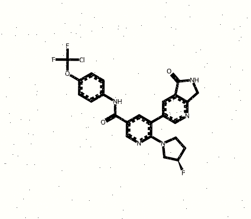 O=C(Nc1ccc(OC(F)(F)Cl)cc1)c1cnc(N2CC[C@@H](F)C2)c(-c2cnc3c(c2)C(=O)NC3)c1